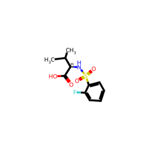 CC(C)[C@@H](NS(=O)(=O)c1ccccc1F)C(=O)O